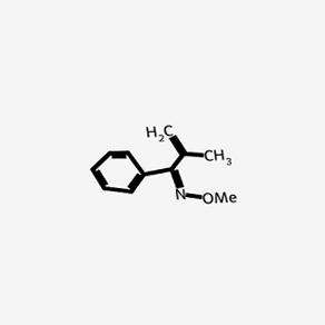 C=C(C)/C(=N\OC)c1ccccc1